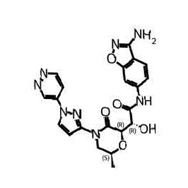 C[C@H]1CN(c2ccn(-c3ccnnc3)n2)C(=O)[C@@H]([C@@H](O)C(=O)Nc2ccc3c(N)noc3c2)O1